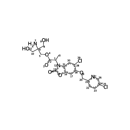 CC(C(=O)OCC(N)(CO)CO)n1c(=O)oc2cc(OCc3ccc(Cl)cn3)c(Cl)cc21